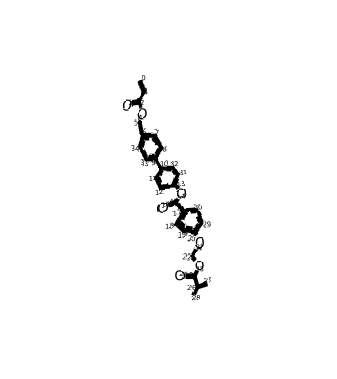 C=CC(=O)OCc1ccc(-c2ccc(OC(=O)c3ccc(OCOC(=O)C(=C)C)cc3)cc2)cc1